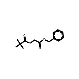 CC(C)(C)C(=O)OCC(=O)OCc1ccccc1